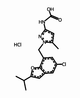 Cc1cc(NC(=O)O)nn1Cc1cc(Cl)cc2cc(C(C)C)oc12.Cl